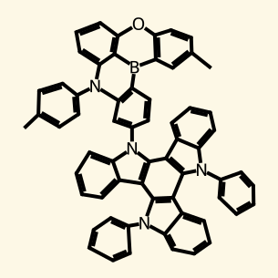 Cc1ccc(N2c3cc(-n4c5ccccc5c5c6c(c7ccccc7n6-c6ccccc6)c6c(c7ccccc7n6-c6ccccc6)c54)ccc3B3c4cc(C)ccc4Oc4cccc2c43)cc1